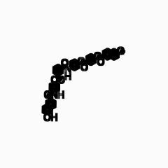 COc1ccc2cc(C(=O)Oc3ccc(C(=O)Oc4ccc(NC(=O)c5cccc(C(=O)Oc6ccc(NC(=O)c7ccc8cc(O)ccc8c7)cc6)c5)cc4)cc3)ccc2c1